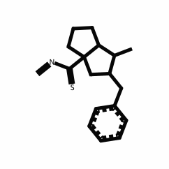 C=NC(=S)C12CCCC1C(C)C(Cc1ccccc1)C2